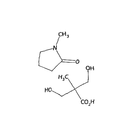 CC(CO)(CO)C(=O)O.CN1CCCC1=O